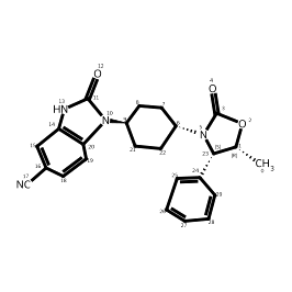 C[C@H]1OC(=O)N([C@H]2CC[C@H](n3c(=O)[nH]c4cc(C#N)ccc43)CC2)[C@H]1c1ccccc1